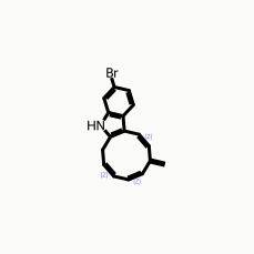 C=C1/C=C\C=C/Cc2[nH]c3cc(Br)ccc3c2/C=C\1